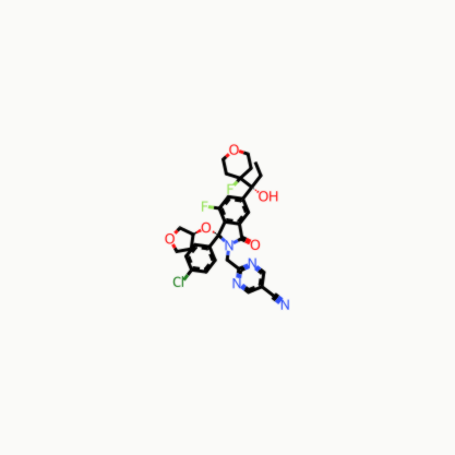 CC[C@@](O)(c1cc(F)c2c(c1)C(=O)N(Cc1ncc(C#N)cn1)[C@@]2(O[C@H]1CCOC1)c1ccc(Cl)cc1)C1(F)CCOCC1